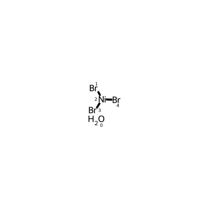 O.[Br][Ni]([Br])[Br]